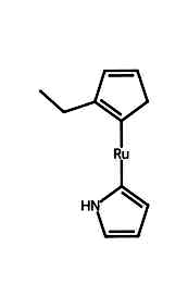 CCC1=[C]([Ru][c]2ccc[nH]2)CC=C1